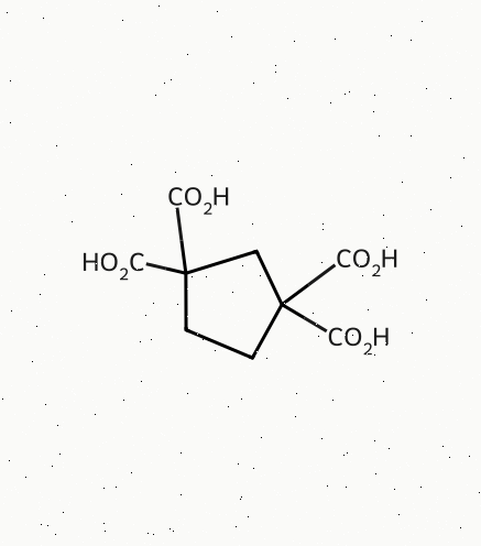 O=C(O)C1(C(=O)O)CCC(C(=O)O)(C(=O)O)C1